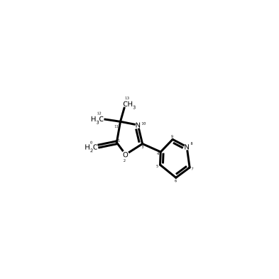 C=C1OC(c2cccnc2)=NC1(C)C